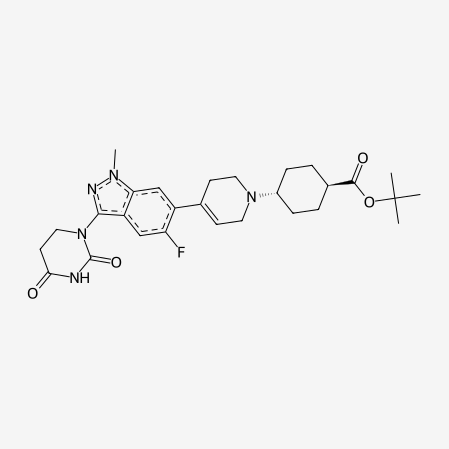 Cn1nc(N2CCC(=O)NC2=O)c2cc(F)c(C3=CCN([C@H]4CC[C@H](C(=O)OC(C)(C)C)CC4)CC3)cc21